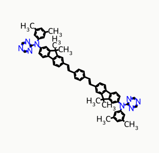 Cc1cc(C)cc(N(c2ccc3c(c2)C(C)(C)c2cc(/C=C/c4ccc(/C=C/c5ccc6c(c5)C(C)(C)c5cc(N(c7cc(C)cc(C)c7)c7ncncn7)ccc5-6)cc4)ccc2-3)c2ncncn2)c1